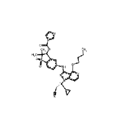 CCCCOc1nccc2c1c(Nc1ccc3c(c1)C(OC(=O)n1ccnc1)C(C)(C)S3(=O)=O)nn2[C@@H](CC#N)C1CC1